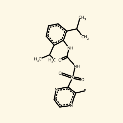 CC(C)c1cccc(C(C)C)c1NC(=O)NS(=O)(=O)c1nccnc1F